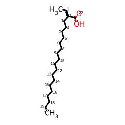 C/C=C(\CCCCCCCCCCCCCCCCCC)C(=O)O